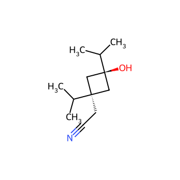 CC(C)[C@]1(O)C[C@@](CC#N)(C(C)C)C1